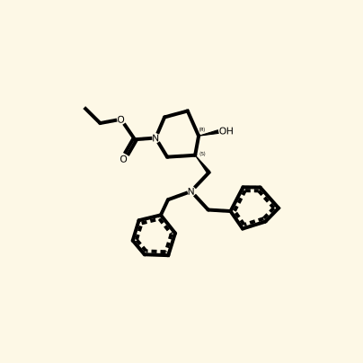 CCOC(=O)N1CC[C@@H](O)[C@@H](CN(Cc2ccccc2)Cc2ccccc2)C1